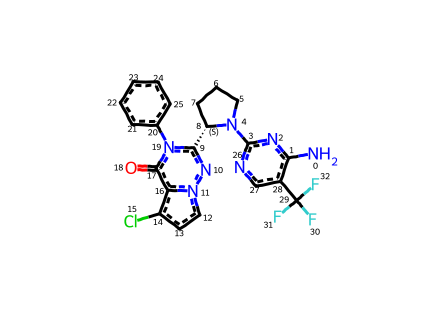 Nc1nc(N2CCC[C@H]2c2nn3ccc(Cl)c3c(=O)n2-c2ccccc2)ncc1C(F)(F)F